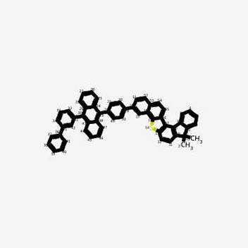 CC1(C)c2ccccc2-c2c1ccc1sc3c4cc(-c5ccc(-c6c7ccccc7c(-c7cccc(-c8ccccc8)c7)c7ccccc67)cc5)ccc4ccc3c21